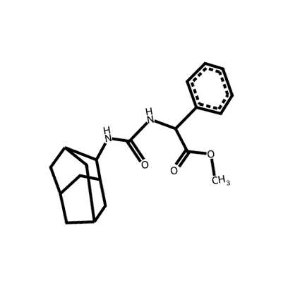 COC(=O)C(NC(=O)NC1C2CC3CC(C2)CC1C3)c1ccccc1